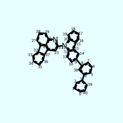 c1ccc(-c2cccc(-c3ccc4c(c3)c3ccccc3n4-c3cc4c5c(cccc5n3)-c3ccccc3-4)c2)cc1